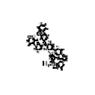 CC1(C)c2ccccc2C2(c3ccccc3-c3ccc(-c4ccc(N(c5ccc6c(c5)oc5ccccc56)c5cccc6c5sc5ccccc56)cc4)cc32)c2ccccc21